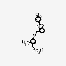 Cc1cc(SCCc2cccc3sc(-c4ccc(C(F)(F)F)cc4)nc23)ccc1CCC(=O)O